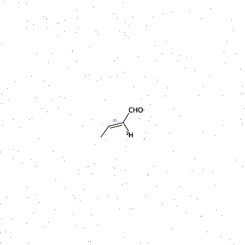 [2H]/C([C]=O)=C\C